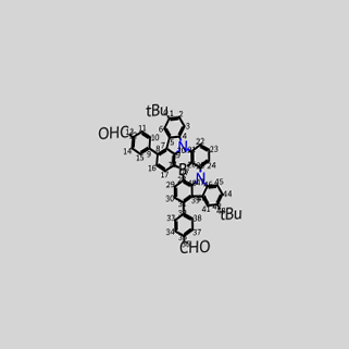 CC(C)(C)c1ccc2c(c1)c1c(-c3ccc(C=O)cc3)ccc3c1n2-c1cccc2c1B3c1ccc(-c3ccc(C=O)cc3)c3c4cc(C(C)(C)C)ccc4n-2c13